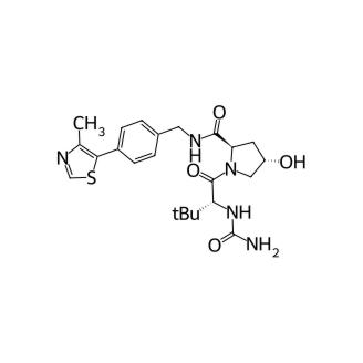 Cc1ncsc1-c1ccc(CNC(=O)[C@H]2C[C@H](O)CN2C(=O)[C@H](NC(N)=O)C(C)(C)C)cc1